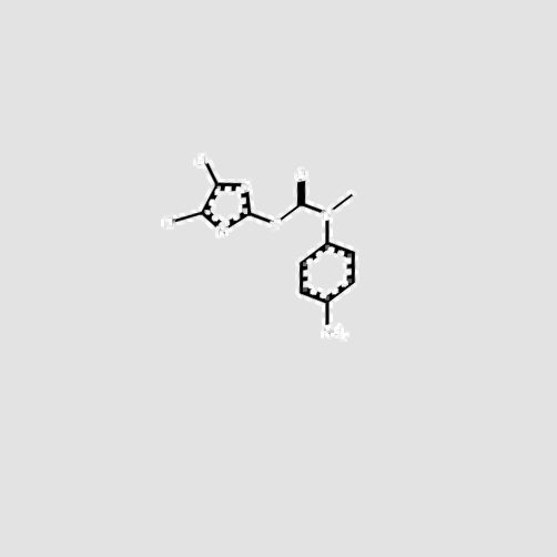 CN(C(=O)Sc1nc(Cl)c(Cl)s1)c1ccc([N+](=O)[O-])cc1